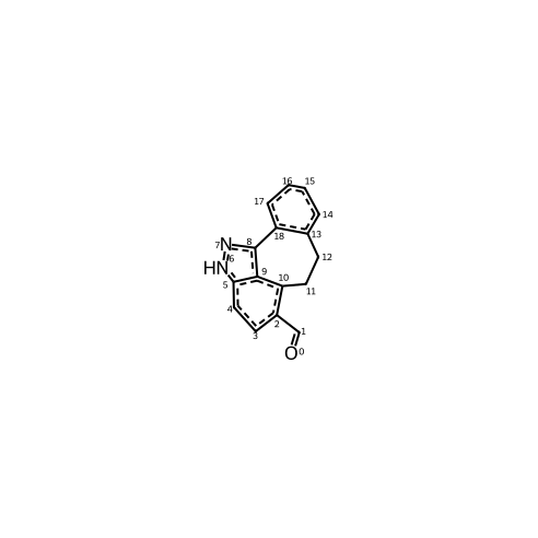 O=Cc1ccc2[nH]nc3c2c1CCc1ccccc1-3